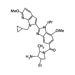 CCCn1c(-c2cc3ccc(OC)nc3n2CC2CC2)nc2cc(C(=O)N3CC(CC)C(N)C3C)cc(OC)c21